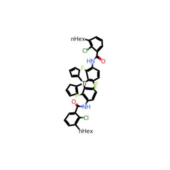 CCCCCCc1cccc(C(=O)Nc2ccc(F)[c]([Ti]([C]3=CC=CC3)([C]3=CC=CC3)[c]3c(F)ccc(NC(=O)c4cccc(CCCCCC)c4Cl)c3F)c2F)c1Cl